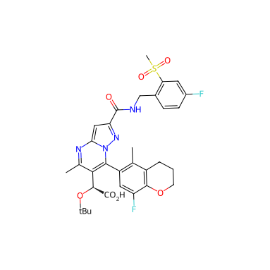 Cc1nc2cc(C(=O)NCc3ccc(F)cc3S(C)(=O)=O)nn2c(-c2cc(F)c3c(c2C)CCCO3)c1[C@H](OC(C)(C)C)C(=O)O